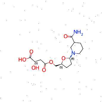 NC(=O)C1CCCN([C@H]2CC[C@@H](COC(=O)C[C@H](O)C(=O)O)O2)C1